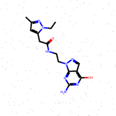 CCn1nc(C)cc1CC(=O)NCCn1ncc2c(O)nc(N)nc21